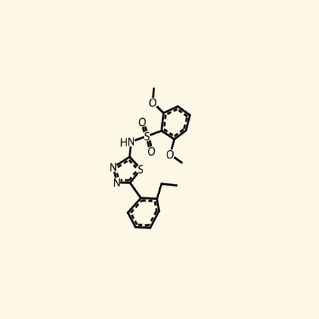 CCc1ccccc1-c1nnc(NS(=O)(=O)c2c(OC)cccc2OC)s1